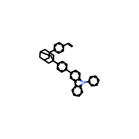 C=Cc1ccc(C23CC4CC(C2)CC(c2ccc(-c5ccc6c(c5)c5ccccc5n6-c5ccccc5)cc2)(C4)C3)cc1